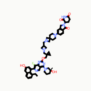 CCc1cccc2cc(O)cc(-c3ncc4c(N5CCC[C@@](C)(O)C5)nc(OCC5(CN6CC(CN7CC8(CCN(c9ccc%10c(c9)CN(C9CCC(=O)NC9=O)C%10=O)CC8)C7)C6)CC5)nc4c3F)c12